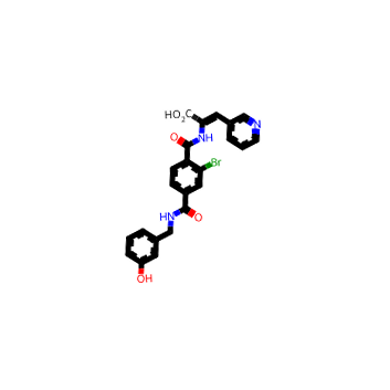 O=C(O)/C(=C/c1cccnc1)NC(=O)c1ccc(C(=O)NCc2cccc(O)c2)cc1Br